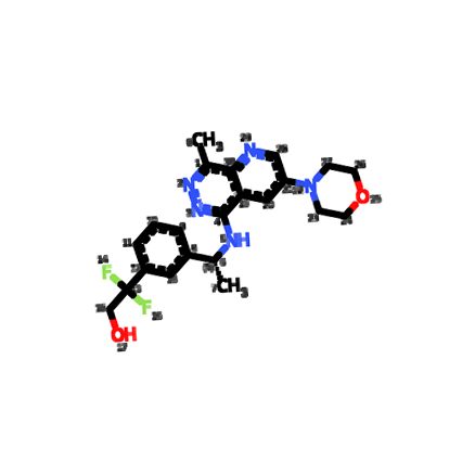 Cc1nnc(N[C@H](C)c2cccc(C(F)(F)CO)c2)c2cc(N3CCOCC3)cnc12